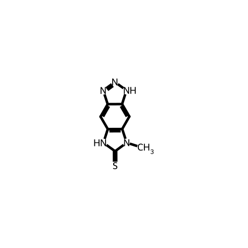 Cn1c(=S)[nH]c2cc3nn[nH]c3cc21